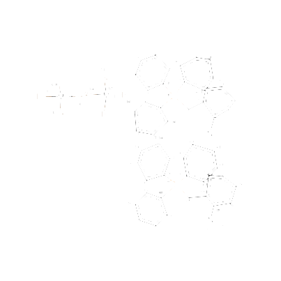 O=[N+]([O-])c1ccccc1C[P+](c1ccccc1)(c1ccccc1)c1ccccc1.O=[N+]([O-])c1ccccc1C[P+](c1ccccc1)(c1ccccc1)c1ccccc1.[Br][Mn-]([Br])([Br])[Br].[Br][Mn-]([Br])([Br])[Br]